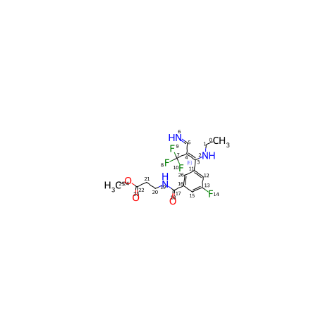 CCN/C(=C(\C=N)C(F)(F)F)c1cc(F)cc(C(=O)NCCC(=O)OC)c1